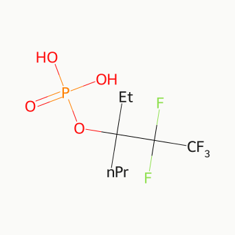 CCCC(CC)(OP(=O)(O)O)C(F)(F)C(F)(F)F